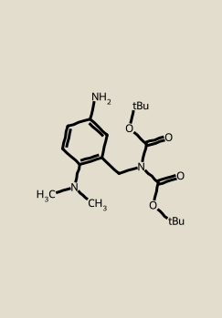 CN(C)c1ccc(N)cc1CN(C(=O)OC(C)(C)C)C(=O)OC(C)(C)C